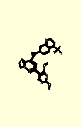 COc1ncc(-c2cc(C3CC3c3ccc4c(C(F)(F)F)ccnc4c3)c3nccn3n2)c(OC)n1